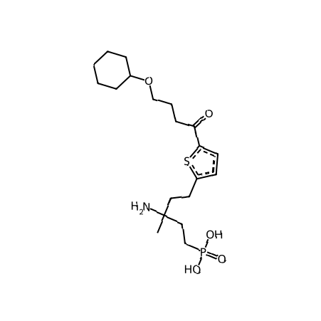 CC(N)(CCc1ccc(C(=O)CCCOC2CCCCC2)s1)CCP(=O)(O)O